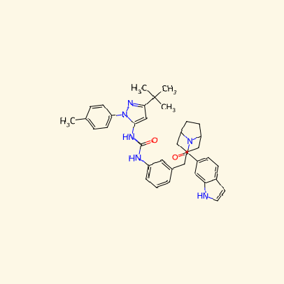 Cc1ccc(-n2nc(C(C)(C)C)cc2NC(=O)Nc2cccc(CC3CC4CCC(C3)N4C(=O)c3ccc4cc[nH]c4c3)c2)cc1